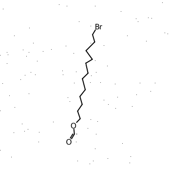 O=[C]OCCCCCCCCCCCCBr